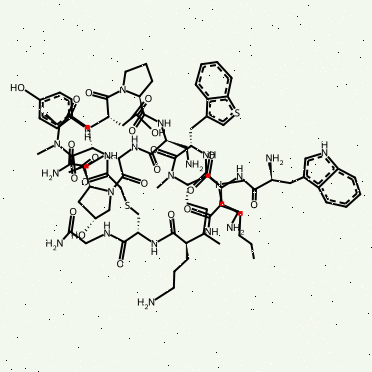 CCCC[C@@H](C(=O)N(C)[C@@H](CCCC)C(=O)N[C@@H](CCCN)C(=O)N[C@@H](CSCC(=O)N[C@@H](Cc1ccc(O)cc1)C(=O)N(C)[C@@H](C)C(=O)N[C@@H](CC(=O)O)C(=O)N1CCC[C@H]1C(=O)N[C@@H](CN)C(=O)N[C@@H](CCC(N)=O)C(=O)N1C[C@H](O)C[C@H]1C(C)=O)C(=O)NCC(N)=O)N(C)C(=O)[C@H](Cc1csc2ccccc12)NC(=O)[C@H](CCN)NC(=O)[C@@H](N)Cc1c[nH]c2ccccc12